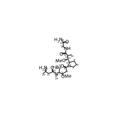 CCC(C)C(C(CC(=O)N1CCCC1C(OC)C(C)C(=O)NCC(N)=O)OC)N(C)C(=O)CC(C)N